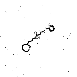 O=C(CCSSc1ccccn1)NCCCC1CCCCCCC1